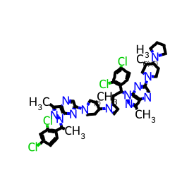 Cc1nn(C(C)c2ccc(Cl)cc2Cl)c2nc(N3CCC(N4CCC4CC(c4ccc(Cl)cc4Cl)n4nc(C)c5ncc(N6CC[C@H](N7CCCC7)[C@H](C)C6)nc54)[C@H](C)C3)cnc12